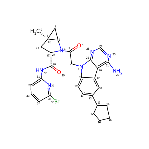 C[C@]12CC1N(C(=O)Cn1c3ccc(C4CCCC4)cc3c3c(N)ncnc31)[C@H](C(=O)Nc1cccc(Br)n1)C2